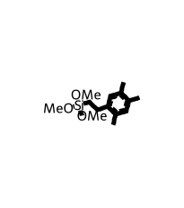 CO[Si](CCc1cc(C)c(C)cc1C)(OC)OC